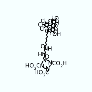 O=C(O)CN1CCN(CC(=O)O)CCN(CC(=O)NCCNC(=O)CCCCCCCOC(=O)c2c(Cl)c(Cl)c(Cl)c(Cl)c2-c2c3cc(I)c(=O)c(I)c-3oc3c(I)c(O)c(I)cc23)CCN(CC(=O)O)CC1